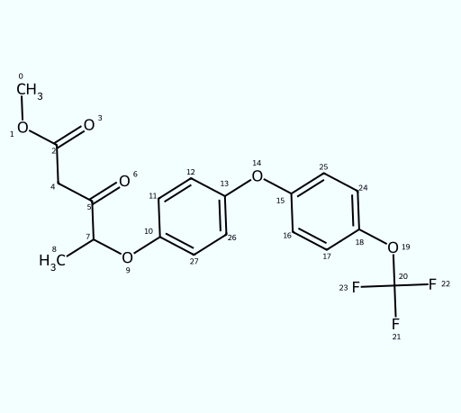 COC(=O)CC(=O)C(C)Oc1ccc(Oc2ccc(OC(F)(F)F)cc2)cc1